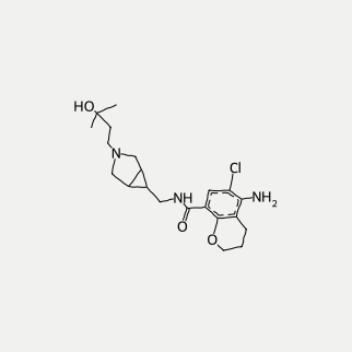 CC(C)(O)CCN1CC2C(CNC(=O)c3cc(Cl)c(N)c4c3OCCC4)C2C1